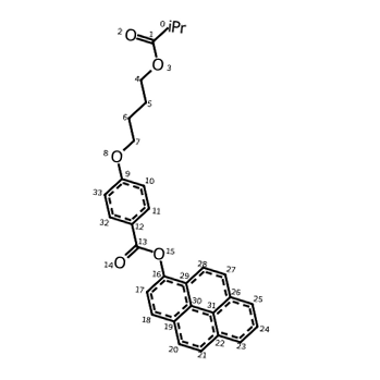 CC(C)C(=O)OCCCCOc1ccc(C(=O)Oc2ccc3ccc4cccc5ccc2c3c45)cc1